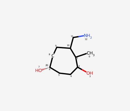 CC1C(O)CC[C@H](O)CCC1CN